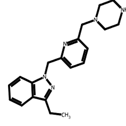 CCc1nn(Cc2cccc(CN3CCNCC3)n2)c2ccc[c]c12